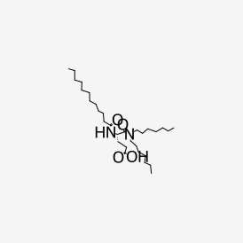 CCCCCCCCCCCC(=O)N[C@@H](CCC(=O)O)C(=O)N(CCCCCCC)CCCCCCC